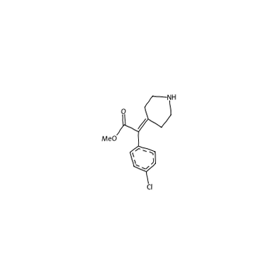 COC(=O)C(=C1CCNCC1)c1ccc(Cl)cc1